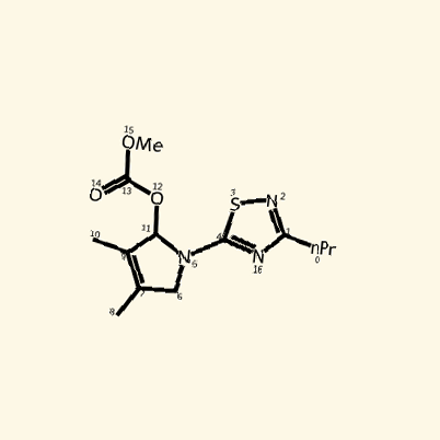 CCCc1nsc(N2CC(C)=C(C)C2OC(=O)OC)n1